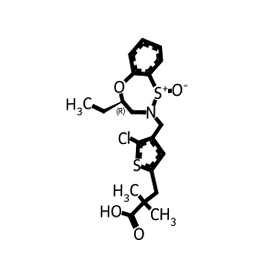 CC[C@@H]1CN(Cc2cc(CC(C)(C)C(=O)O)sc2Cl)[S+]([O-])c2ccccc2O1